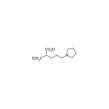 CCOC(=O)C(CCCN1CCCC1)C(=O)OCC